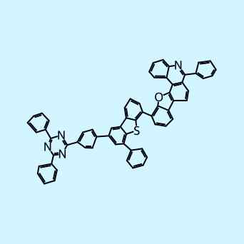 c1ccc(-c2nc(-c3ccccc3)nc(-c3ccc(-c4cc(-c5ccccc5)c5sc6c(-c7cccc8c7oc7c8ccc8c(-c9ccccc9)nc9ccccc9c87)cccc6c5c4)cc3)n2)cc1